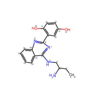 CCC(N)CNc1nc(-c2cc(O)ccc2O)nc2ccccc12